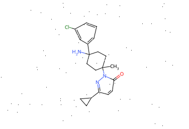 CC1(n2nc(C3CC3)ccc2=O)CCC(N)(c2cccc(Cl)c2)CC1